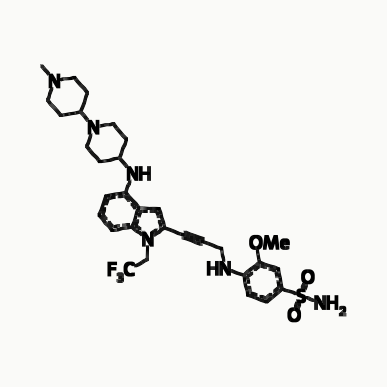 COc1cc(S(N)(=O)=O)ccc1NCC#Cc1cc2c(NC3CCN(C4CCN(C)CC4)CC3)cccc2n1CC(F)(F)F